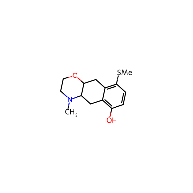 CSc1ccc(O)c2c1CC1OCCN(C)C1C2